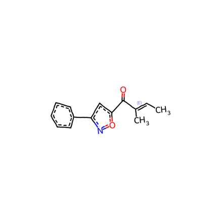 C/C=C(\C)C(=O)c1cc(-c2ccccc2)no1